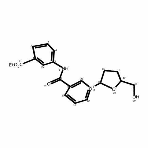 CCOC(=O)c1cccc(NC(=O)c2ccc[n+](C3CCC(CO)O3)c2)c1